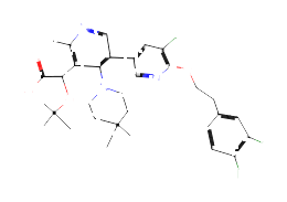 Cc1ncc(-c2cnc(OCCc3ccc(F)c(Cl)c3)c(F)c2)c(N2CCC(C)(C)CC2)c1C(OC(C)(C)C)C(=O)O